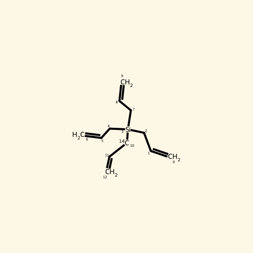 C=C[CH][Si](CC=C)(CC=C)[14CH2]C=C